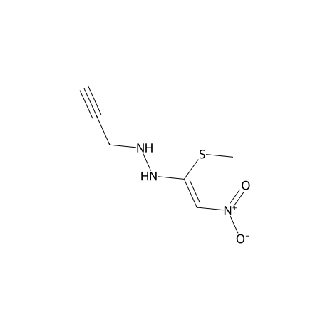 C#CCNNC(=C[N+](=O)[O-])SC